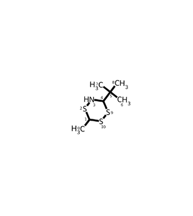 CC1SNC(C(C)(C)C)SS1